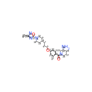 Cc1cc(OCCCC2CCN(c3nc(C(C)C)no3)CC2)ccc1C(=O)N1CCC[C@H](N)C1